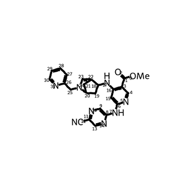 COC(=O)c1cnc(Nc2cnc(C#N)cn2)cc1NC1CC2CC1=CN2Cc1ccccn1